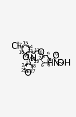 O=C(NO)c1ccc2c(c1)OCC(c1ccc(Cl)cc1)N(C(=O)C1CCOCC1)C2